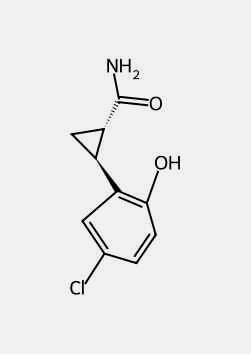 NC(=O)[C@H]1C[C@@H]1c1cc(Cl)ccc1O